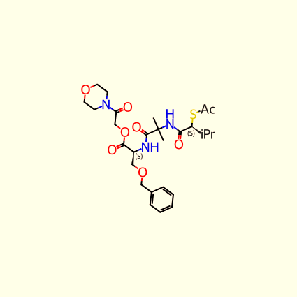 CC(=O)S[C@H](C(=O)NC(C)(C)C(=O)N[C@@H](COCc1ccccc1)C(=O)OCC(=O)N1CCOCC1)C(C)C